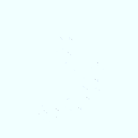 CC(=O)OCc1c(-c2cc(Nc3ccc(N4CC5COCC4CN5C)cn3)c(=O)n(C)c2)cc(F)cc1N1CCn2c(cc3c2CCCC3)C1=O